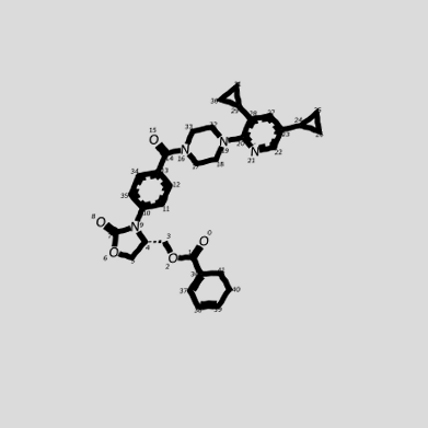 O=C(OC[C@@H]1COC(=O)N1c1ccc(C(=O)N2CCN(c3ncc(C4CC4)cc3C3CC3)CC2)cc1)C1=CC=CCC1